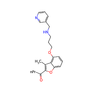 CCCC(=O)c1oc2cccc(OCCCNCc3cccnc3)c2c1C